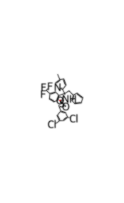 Cc1ccc(C(Cc2ccccc2)(NS(=O)(=O)Cc2cc(Cl)cc(Cl)c2)c2cccc(C(F)(F)F)c2)nc1